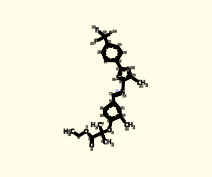 CCOC(=O)C(C)(C)Oc1ccc(/C=N/c2sc(-c3ccc(C(F)(F)F)cc3)nc2C)cc1C